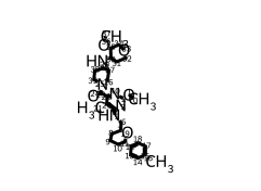 COc1nc(NCC2CCC[C@@H](c3ccc(C)cc3)O2)c(C)c(C(=O)N2CCC(N[C@@H]3CCOC[C@@H]3OC)CC2)n1